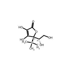 C[Si](C)(C)[C@]1([C@@H](O)CO)OC(=O)C(O)=C1O